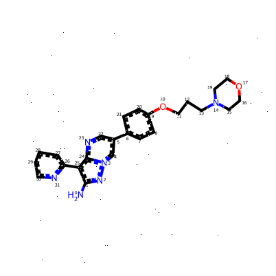 Nc1nn2cc(-c3ccc(OCCCN4CCOCC4)cc3)cnc2c1-c1ccccn1